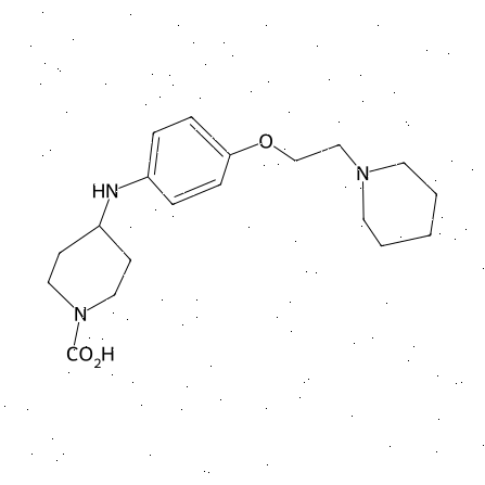 O=C(O)N1CCC(Nc2ccc(OCCN3CCCCC3)cc2)CC1